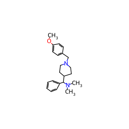 COc1ccc(CN2CCC(C(c3ccccc3)N(C)C)CC2)cc1